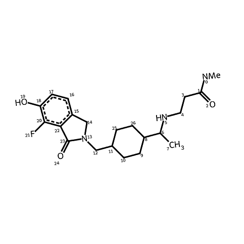 CNC(=O)CCNC(C)C1CCC(CN2Cc3ccc(O)c(F)c3C2=O)CC1